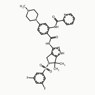 CN1CCN(c2ccc(C(=O)Nc3n[nH]c4c3CN(S(=O)(=O)c3cc(F)cc(F)c3)C4(C)C)c(NC(=O)c3ccccn3)c2)CC1